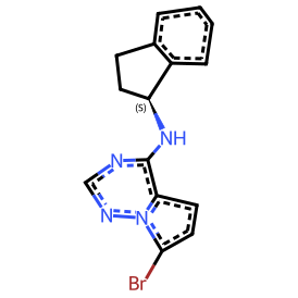 Brc1ccc2c(N[C@H]3CCc4ccccc43)ncnn12